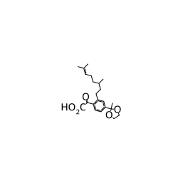 CC(C)=CCCC(C)CCc1cc(C2(C)OCCO2)ccc1C(=O)C(=O)O